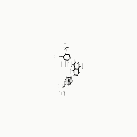 CC(C)(C)OC(=O)N1CC2CCC1CN2c1ccc2ncnc(Nc3ccc(OC(F)F)c(Cl)c3)c2n1